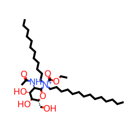 CCCCCCCCCCCCCC[N+](CCCCCCCCCCCC)(C(=O)OCC)C1O[C@H](CO)[C@@H](O)[C@H](O)[C@H]1NC(C)=O